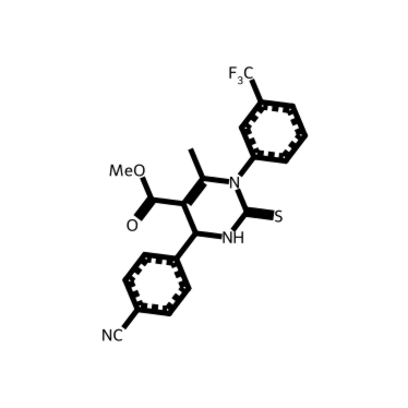 COC(=O)C1=C(C)N(c2cccc(C(F)(F)F)c2)C(=S)NC1c1ccc(C#N)cc1